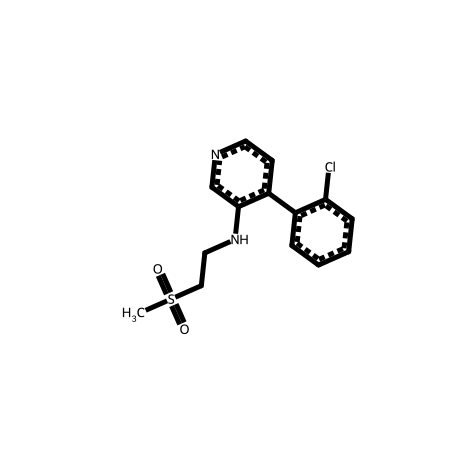 CS(=O)(=O)CCNc1cnccc1-c1ccccc1Cl